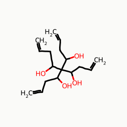 C=CCC(O)C(C(O)CC=C)(C(O)CC=C)C(O)CC=C